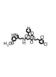 COc1ccc2[nH]cc(CCNC(=O)CC3C(=O)N(CCc4ccc(Cl)cc4Cl)CC(=O)N3Cc3ccncc3)c2c1